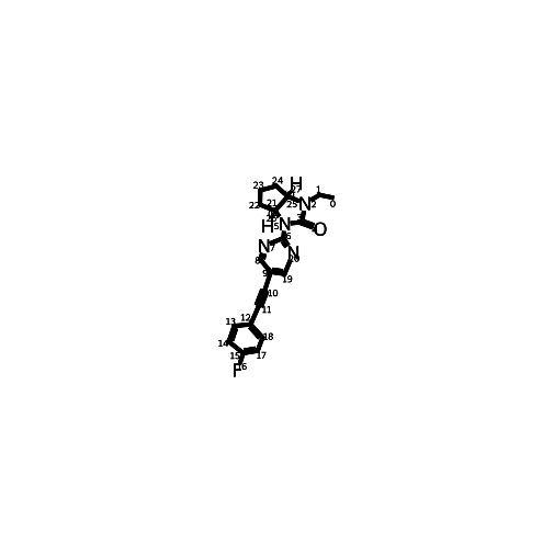 CCN1C(=O)N(c2ncc(C#Cc3ccc(F)cc3)cn2)[C@@H]2CCC[C@@H]21